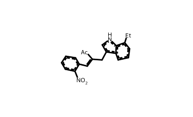 CCc1cccc2c(C/C(=C/c3ccccc3[N+](=O)[O-])C(C)=O)c[nH]c12